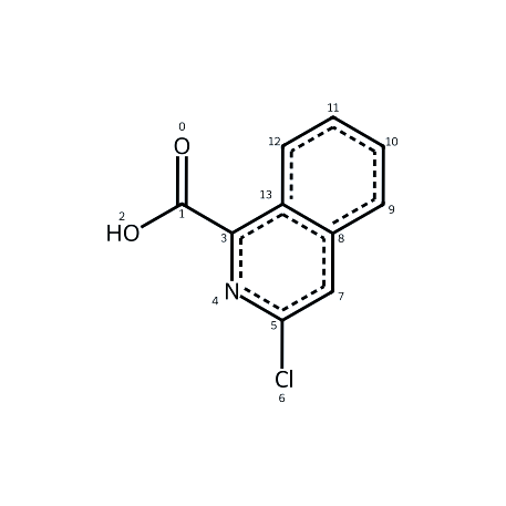 O=C(O)c1nc(Cl)cc2ccccc12